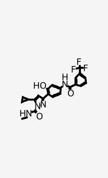 CCNC(=O)n1nc(-c2ccc(NC(=O)c3cccc(C(F)(F)F)c3)cc2O)cc1C1CC1